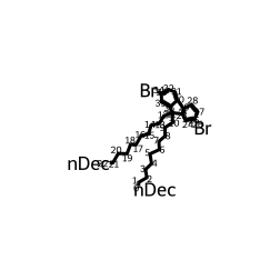 CCCCCCCCCCCCCCCCCCCCC1(CCCCCCCCCCCCCCCCCCCC)c2cc(Br)ccc2-c2ccc(Br)cc21